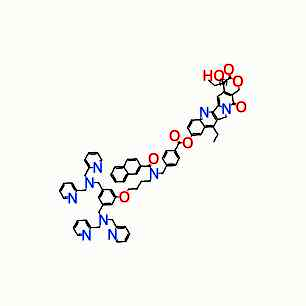 CCc1c2c(nc3ccc(OC(=O)c4ccc(CN(CCCCOc5cc(CN(Cc6ccccn6)Cc6ccccn6)cc(CN(Cc6ccccn6)Cc6ccccn6)c5)C(=O)c5ccc6ccccc6c5)cc4)cc13)-c1cc3c(c(=O)n1C2)COC(=O)[C@]3(O)CC